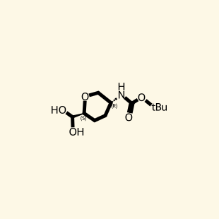 CC(C)(C)OC(=O)N[C@@H]1CC[C@@H](C(O)O)OC1